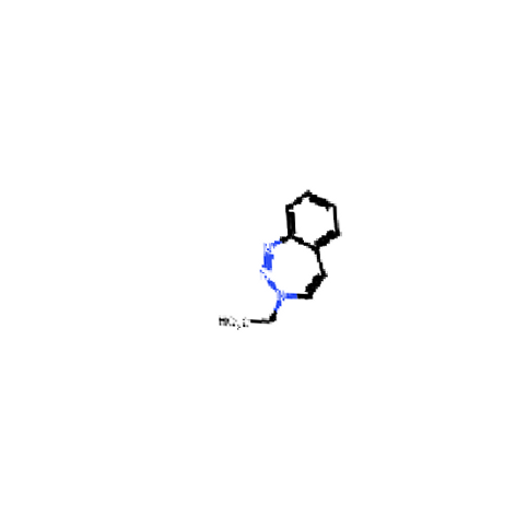 O=C(O)CN1C=Cc2ccccc2N=N1